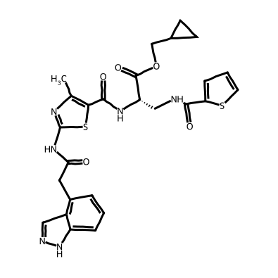 Cc1nc(NC(=O)Cc2cccc3[nH]ncc23)sc1C(=O)N[C@@H](CNC(=O)c1cccs1)C(=O)OCC1CC1